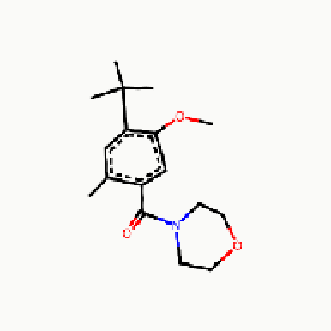 COc1cc(C(=O)N2CCOCC2)c(C)cc1C(C)(C)C